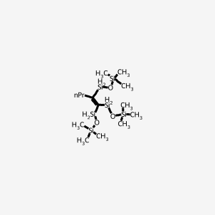 CCCC([SiH2]O[Si](C)(C)C)=C([SiH2]O[Si](C)(C)C)[SiH2]O[Si](C)(C)C